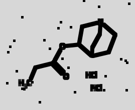 CCC(=O)OC1CN2CCC1CC2.Cl.Cl